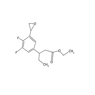 CCOC(=O)CC(CC)c1cc(F)c(F)c(C2CO2)c1